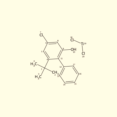 CC(C)(C)c1cc(Cl)cc(O)c1-c1ccccc1.[Cl][Ti][Cl]